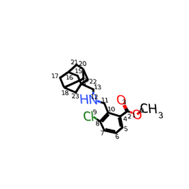 COC(=O)c1cccc(Cl)c1CNCC12CC3CC(CC(C3)C1)C2